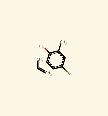 C=CC.Cc1cc(Br)ccc1O